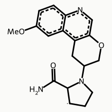 COc1ccc2ncc3c(c2c1)CC(N1CC[CH]C1C(N)=O)CO3